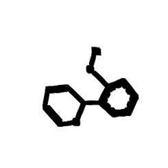 CCOc1ccccc1[C]1C=CC=CO1